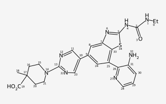 CCNC(=O)Nc1nc2cc(-c3cnc(N4CCC(C)(C(=O)O)CC4)nc3)cc(-c3ncccc3N)c2s1